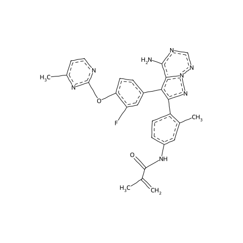 C=C(C)C(=O)Nc1ccc(-c2nn3ncnc(N)c3c2-c2ccc(Oc3nccc(C)n3)c(F)c2)c(C)c1